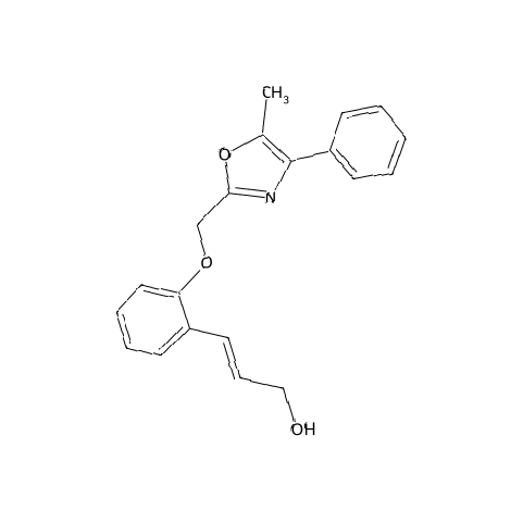 Cc1oc(COc2ccccc2C=CCO)nc1-c1ccccc1